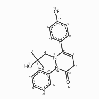 CC(C)(O)CN1C(c2ccc(C(F)(F)F)cc2)=CCC(=O)N1c1cccnc1